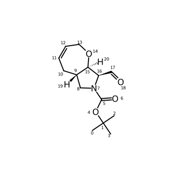 CC(C)(C)OC(=O)N1C[C@@H]2CC=CCO[C@H]2[C@H]1C=O